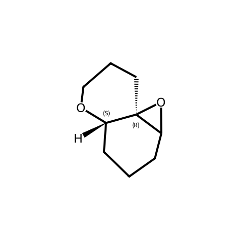 C1CC2O[C@@]23CCCO[C@H]3C1